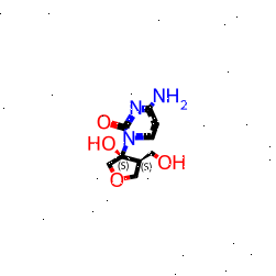 Nc1ccn([C@@]2(O)COC[C@@H]2CO)c(=O)n1